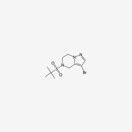 CC(C)(C)S(=O)(=O)N1CCn2ncc(Br)c2C1